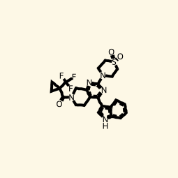 O=C(N1CCc2c(nc(N3CCS(=O)(=O)CC3)nc2-c2c[nH]c3ccccc23)C1)C1(C(F)(F)F)CC1